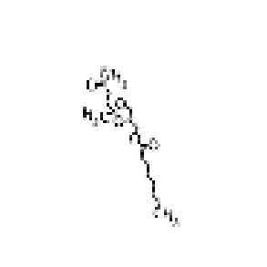 CCCCCCCC(=O)OCC1COC(C)(CCC(N)=O)O1